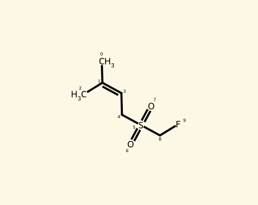 CC(C)=CCS(=O)(=O)CF